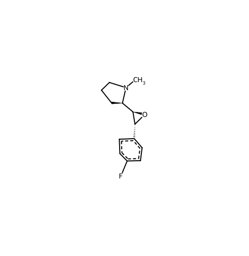 CN1CCC[C@@H]1[C@H]1O[C@@H]1c1ccc(F)cc1